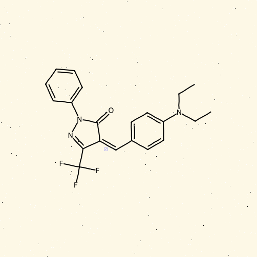 CCN(CC)c1ccc(/C=C2\C(=O)N(c3ccccc3)N=C2C(F)(F)F)cc1